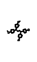 COc1ccc(P(CCP(c2ccc(OC)cc2)c2ccc(OC)cc2)c2ccc(OC)cc2)cc1